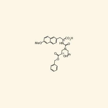 COc1ccc2cc(C[C@H](NC(=O)N(CC(C)C)C[C@H](O)C(=O)OCc3ccccc3)C(=O)O)ccc2c1